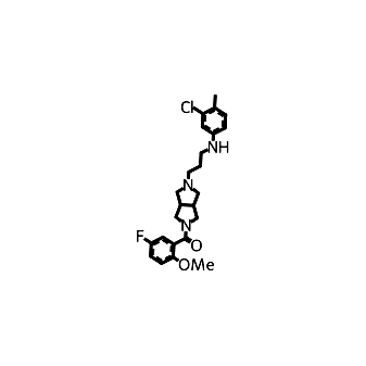 COc1ccc(F)cc1C(=O)N1CC2CN(CCCNc3ccc(C)c(Cl)c3)CC2C1